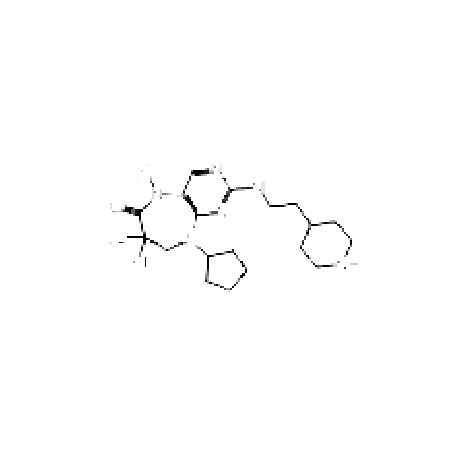 CN1C(=O)C(C)(C)CN(C2CCCC2)c2nc(NCCC3CCNCC3)ncc21